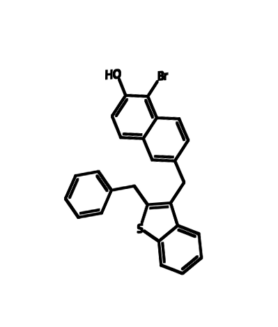 Oc1ccc2cc(Cc3c(Cc4ccccc4)sc4ccccc34)ccc2c1Br